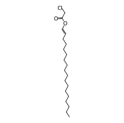 CCCCCCCCCCCCCCCCC=COC(=O)CCl